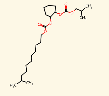 CC(C)CCCCCCCCCOC(=O)OC1CCCCC1OC(=O)OCC(C)C